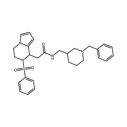 O=C(CC1c2cccn2CCN1S(=O)(=O)c1ccccc1)NCC1CCCN(Cc2ccccc2)C1